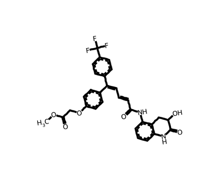 COC(=O)COc1ccc(/C(=C\C=C\C(=O)Nc2cccc3c2CC(O)C(=O)N3)c2ccc(C(F)(F)F)cc2)cc1